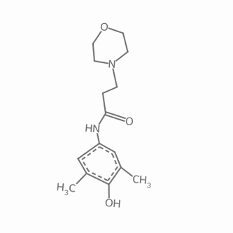 Cc1cc(NC(=O)CCN2CCOCC2)cc(C)c1O